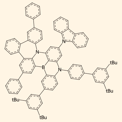 CC(C)(C)c1cc(-c2ccc(N3c4ccc(-c5cc(C(C)(C)C)cc(C(C)(C)C)c5)cc4B4c5cc(-c6ccccc6)cc6c5N(c5ccc(-c7ccccc7)cc5-c5ccccc5-6)c5cc(-n6c7ccccc7c7ccccc76)cc3c54)cc2)cc(C(C)(C)C)c1